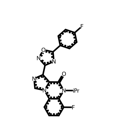 CC(C)n1c(=O)c2c(-c3noc(-c4ccc(F)cc4)n3)ncn2c2cccc(F)c21